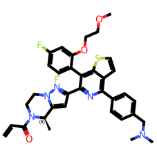 C=CC(=O)N1CCn2nc(-c3nc(-c4ccc(CN(C)C)cc4)c4ccsc4c3-c3c(F)cc(F)cc3OCCOC)cc2[C@H]1C